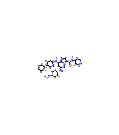 N[C@H]1CC[C@H](Nc2cc(Nc3ccc(-c4ccccc4)cn3)c3ncc(C(=O)Nc4ccncc4)n3n2)CC1